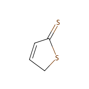 S=C1C=CCS1